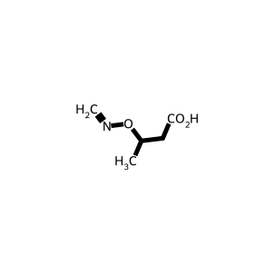 C=NOC(C)CC(=O)O